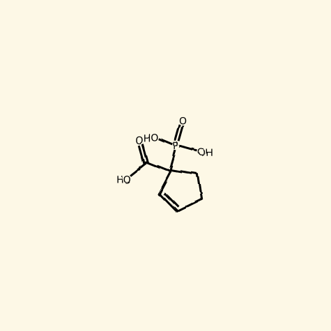 O=C(O)C1(P(=O)(O)O)C=CCC1